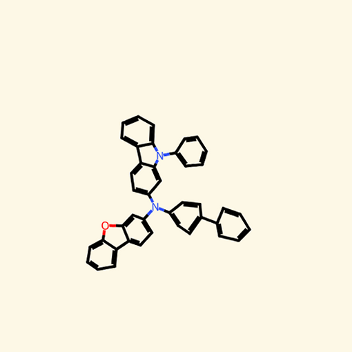 c1ccc(-c2ccc(N(c3ccc4c(c3)oc3ccccc34)c3ccc4c5ccccc5n(-c5ccccc5)c4c3)cc2)cc1